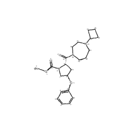 CC(C)(C)OC(=O)N1CC(Oc2ccccc2)C[C@H]1C(=O)N1CCCN(C2CCC2)CC1